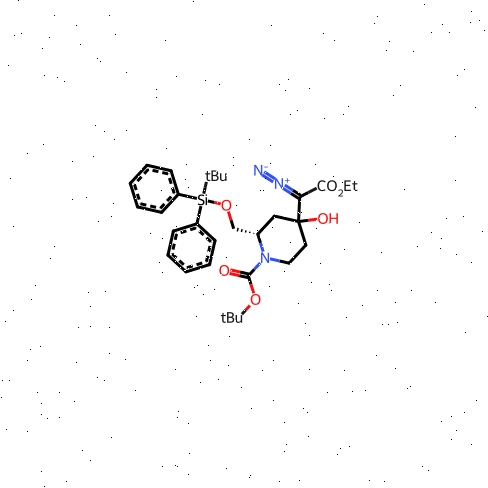 CCOC(=O)C(=[N+]=[N-])C1(O)CCN(C(=O)OC(C)(C)C)[C@H](CO[Si](c2ccccc2)(c2ccccc2)C(C)(C)C)C1